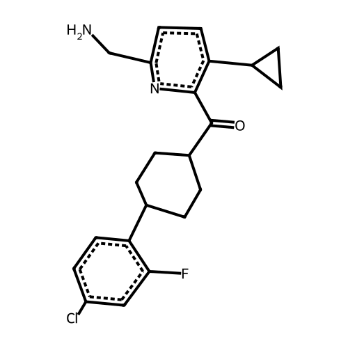 NCc1ccc(C2CC2)c(C(=O)C2CCC(c3ccc(Cl)cc3F)CC2)n1